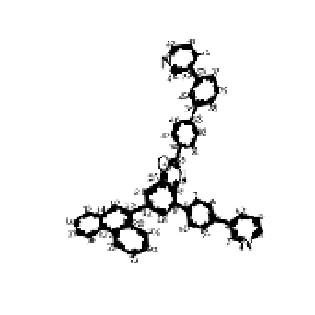 c1cncc(-c2ccc(-c3cc(-c4cc5ccccc5c5ccccc45)cc4oc(-c5ccc(-c6cccc(-c7cccnc7)c6)cc5)nc34)cc2)c1